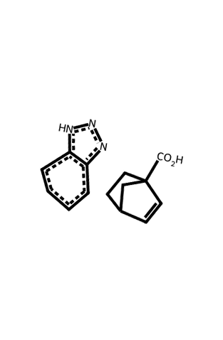 O=C(O)C12C=CC(CC1)C2.c1ccc2[nH]nnc2c1